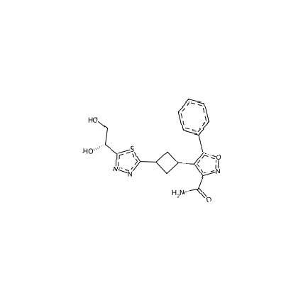 NC(=O)c1noc(-c2ccccc2)c1C1CC(c2nnc([C@H](O)CO)s2)C1